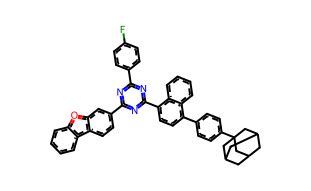 Fc1ccc(-c2nc(-c3ccc4c(c3)oc3ccccc34)nc(-c3ccc(-c4ccc(C56CC7CC(CC(C7)C5)C6)cc4)c4ccccc34)n2)cc1